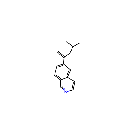 C=C(CC(C)C)c1ccc2cnccc2c1